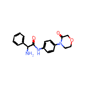 NC(C(=O)Nc1ccc(N2CCOCC2=O)cc1)c1ccccc1